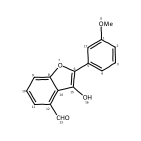 COc1cccc(-c2oc3cccc(C=O)c3c2O)c1